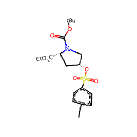 CCOC(=O)[C@H]1C[C@@H](OS(=O)(=O)c2ccc(C)cc2)CN1C(=O)OC(C)(C)C